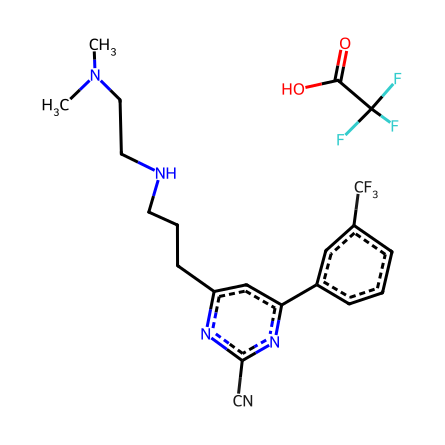 CN(C)CCNCCCc1cc(-c2cccc(C(F)(F)F)c2)nc(C#N)n1.O=C(O)C(F)(F)F